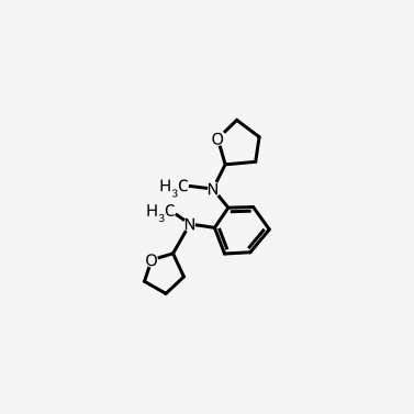 CN(c1ccccc1N(C)C1CCCO1)C1CCCO1